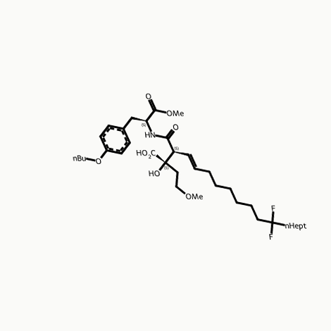 CCCCCCCC(F)(F)CCCCCCC=C[C@H](C(=O)N[C@@H](Cc1ccc(OCCCC)cc1)C(=O)OC)[C@@](O)(CCOC)C(=O)O